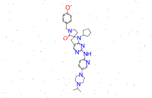 COc1ccc(CN2CCC3(Cc4cnc(Nc5ccc(N6CCN(C(C)C)CC6)cn5)nc4N3C3CCCC3)C2=O)cc1